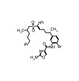 CCC/C(=C\CC[C@H](C)c1ccc(Br)c(NC(=O)c2coc(N)n2)c1)S(=O)(=O)CC(C)CCCC(C)C